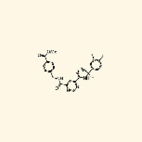 [2H]C([2H])(NC(=O)c1cc(C(=O)NCc2ccc(C(=O)OC)cc2)ncn1)c1ccc(F)c(C)c1